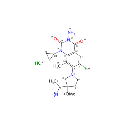 COC1(C(C)N)CCN(c2c(F)cc3c(=O)n(N)c(=O)n(C4CC4)c3c2C)C1.Cl